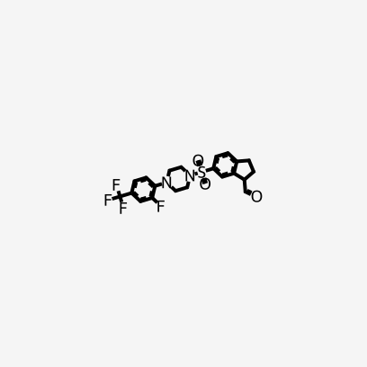 O=CC1CCc2ccc(S(=O)(=O)N3CCN(c4ccc(C(F)(F)F)cc4F)CC3)cc21